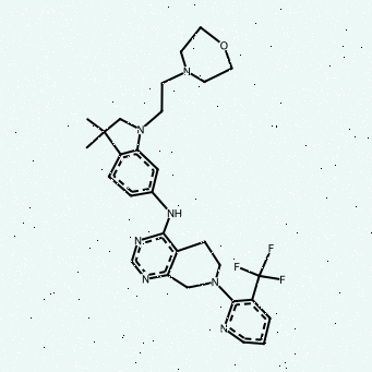 CC1(C)CN(CCN2CCOCC2)c2cc(Nc3ncnc4c3CCN(c3ncccc3C(F)(F)F)C4)ccc21